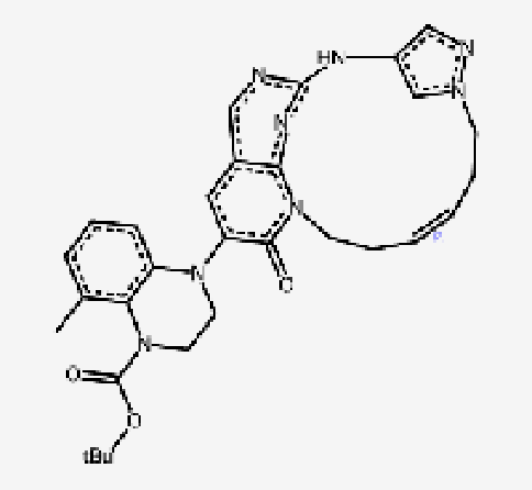 Cc1cccc2c1N(C(=O)OC(C)(C)C)CCN2c1cc2cnc3nc2n(c1=O)CC/C=C\CCn1cc(cn1)N3